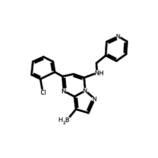 Bc1cnn2c(NCc3cccnc3)cc(-c3ccccc3Cl)nc12